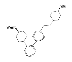 CCCCC[C@H]1CC[C@H](c2ccccc2-c2ccc(CC[C@H]3CC[C@H](CCCC)CC3)cc2)CC1